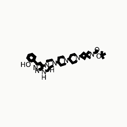 CC(C)(C)OC(=O)N1CC2(CC(N3CCC(N4CCC(N5CCN6c7cc(-c8ccccc8O)nnc7NC[C@H]6C5)CC4)CC3)C2)C1